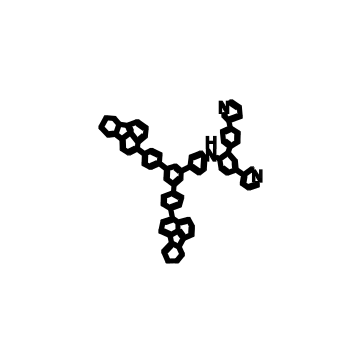 C1=CC(Nc2ccc(-c3cc(-c4ccc(-c5ccc6c7c(cccc57)C5CCCC=C65)cc4)cc(-c4ccc(-c5ccc6c7c(cccc57)C5CCCC=C65)cc4)c3)cc2)C(c2ccc(-c3cccnc3)cc2)C=C1c1cccnc1